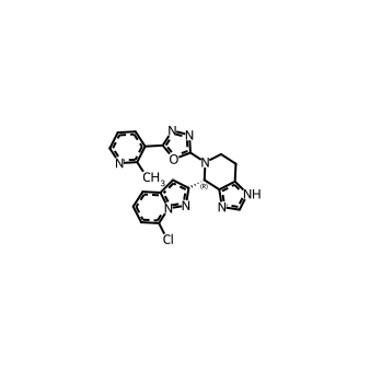 Cc1ncccc1-c1nnc(N2CCc3[nH]cnc3[C@@H]2c2cc3cccc(Cl)n3n2)o1